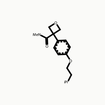 CNC(=O)C1(c2ccc(OCCC(C)C)cc2)COC1